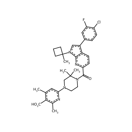 Cc1cc(N2CCN(C(=O)c3ccc4c(-c5ccc(Cl)c(F)c5)cn(C5(C)CCC5)c4n3)C(C)(C)C2)nc(C)c1C(=O)O